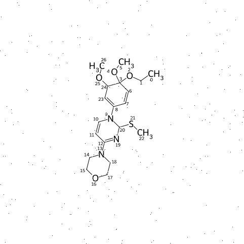 CCOC1(OC)C=CC(N2C=CC(N3CCOCC3)=NC2SC)=CC1OC